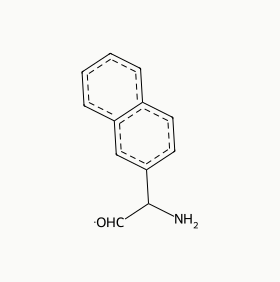 NC([C]=O)c1ccc2ccccc2c1